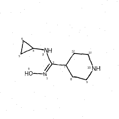 ON=C(NC1CC1)C1CCNCC1